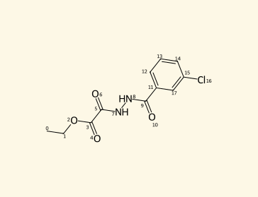 CCOC(=O)C(=O)NNC(=O)c1cccc(Cl)c1